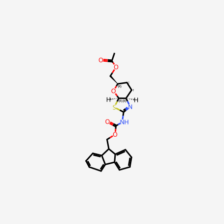 CC(=O)OC[C@H]1[C][C][C@H]2N=C(NC(=O)OCC3c4ccccc4-c4ccccc43)S[C@H]2O1